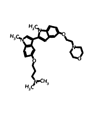 CN(C)CCCOc1ccc2c(c1)c(-c1[c]c3cc(OCCN4CCOCC4)ccc3n1C)cn2C